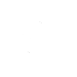 O=C=NCC1CC1CN=C=O